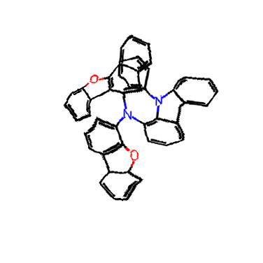 C1=CC2Oc3c(cccc3N(c3cc4ccccc4c4oc5ccccc5c34)c3cccc4c5ccccc5n(-c5ccccc5)c34)C2C=C1